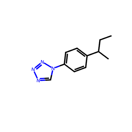 CCC(C)c1ccc(-n2cnnn2)cc1